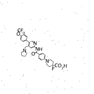 C[C@@H]1CCCN1Cc1cc(NC(=O)c2ccc(N3CCC(F)(C(=O)O)CC3)cc2)ncc1-c1ccc(OC(F)(F)F)cc1